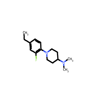 CCc1ccc(N2CCC(N(C)C)CC2)c(F)c1